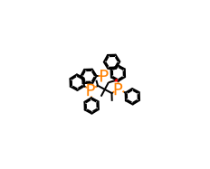 CC(P(c1ccccc1)c1ccccc1)C(C)(C(C)P(c1ccccc1)c1ccccc1)C(C)P(c1ccccc1)c1ccccc1